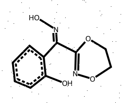 O/N=C(/C1=NOCCO1)c1ccccc1O